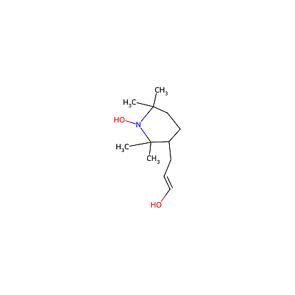 CC1(C)CCC(CC=CO)C(C)(C)N1O